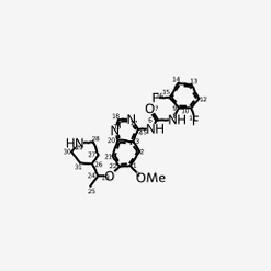 COc1cc2c(NC(=O)Nc3c(F)cccc3F)ncnc2cc1OC(C)C1CCNCC1